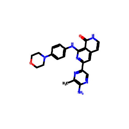 Cc1nc(-c2cc3cc[nH]c(=O)c3c(Nc3ccc(N4CCOCC4)cc3)n2)cnc1N